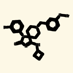 CC(C)Oc1cccc(CN2CCC3(CC2)C(NC2CCC2)=NC(=O)N3c2cccc(F)c2)c1